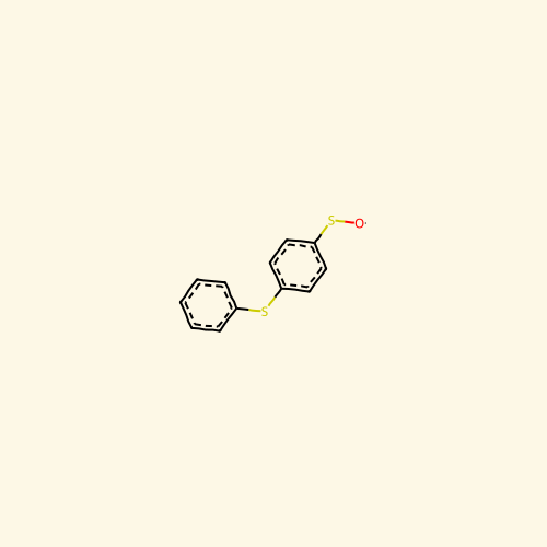 [O]Sc1ccc(Sc2ccccc2)cc1